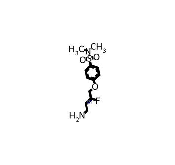 CN(C)S(=O)(=O)c1ccc(OC/C(F)=C/CN)cc1